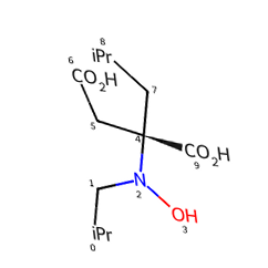 CC(C)CN(O)[C@](CC(=O)O)(CC(C)C)C(=O)O